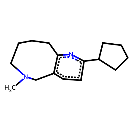 CN1CCCCc2nc(C3CCCC3)ccc2C1